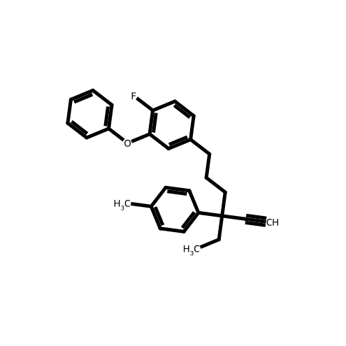 C#CC(CC)(CCCc1ccc(F)c(Oc2ccccc2)c1)c1ccc(C)cc1